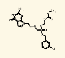 COC(=O)OCOP(=O)(COCCn1cnc2c(=O)[nH]c(N)nc21)OCc1cccc(Cl)c1